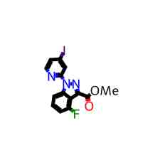 COC(=O)c1nn(-c2cc(I)ccn2)c2cccc(F)c12